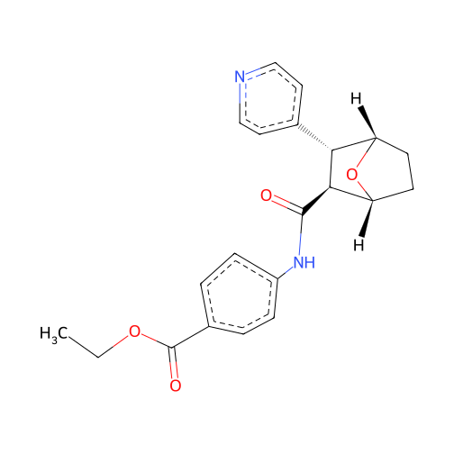 CCOC(=O)c1ccc(NC(=O)[C@H]2[C@H](c3ccncc3)[C@@H]3CC[C@H]2O3)cc1